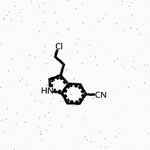 N#Cc1ccc2[nH]cc(CCCl)c2c1